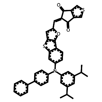 CC(C)c1cc(C(C)C)cc(N(c2ccc(-c3ccccc3)cc2)c2ccc3c(c2)sc2cc(C=C4C(=O)c5cscc5C4=O)oc23)c1